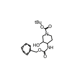 CC(C)(C)OC(=O)N1CCC(NC(=O)OCc2ccccc2)C(O)C1